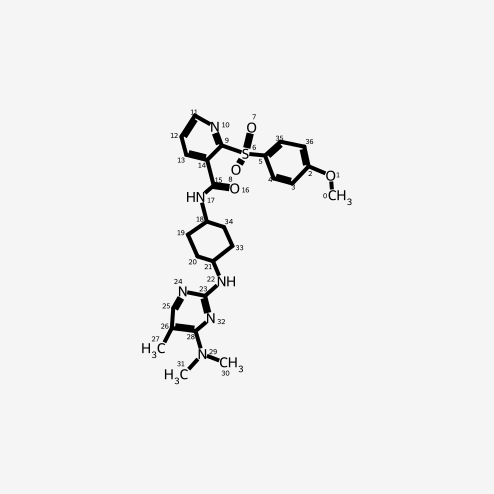 COc1ccc(S(=O)(=O)c2ncccc2C(=O)NC2CCC(Nc3ncc(C)c(N(C)C)n3)CC2)cc1